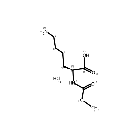 COC(=O)N[C@@H](CCCCN)C(=O)O.Cl